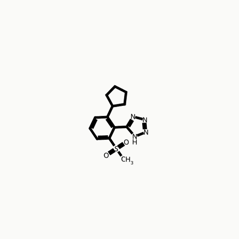 CS(=O)(=O)c1cccc(C2CCCC2)c1-c1nnn[nH]1